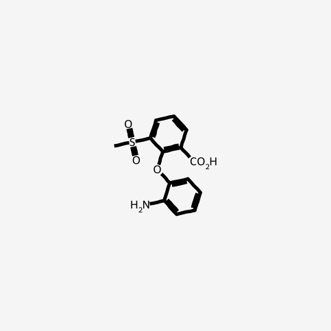 CS(=O)(=O)c1cccc(C(=O)O)c1Oc1ccccc1N